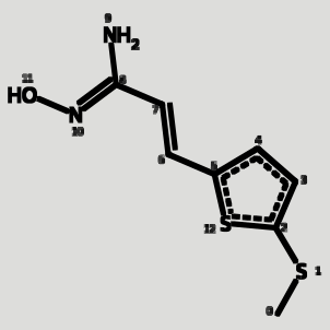 CSc1ccc(C=CC(N)=NO)s1